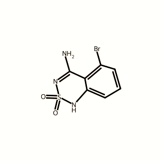 NC1=NS(=O)(=O)Nc2cccc(Br)c21